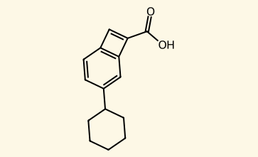 O=C(O)C1=Cc2ccc(C3CCCCC3)cc21